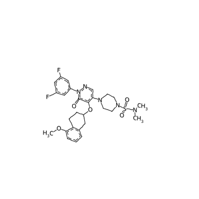 COc1cccc2c1CCC(Oc1c(N3CCN(S(=O)(=O)N(C)C)CC3)cnn(-c3cc(F)cc(F)c3)c1=O)C2